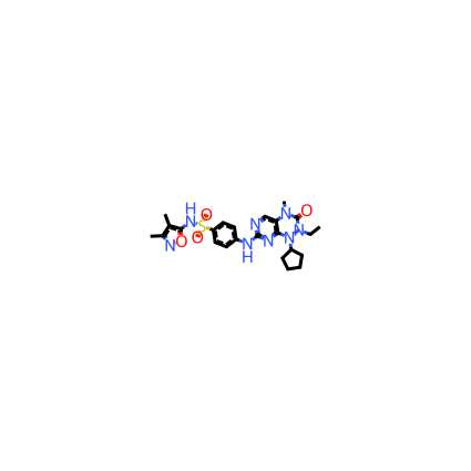 CCN1C(=O)N(C)c2cnc(Nc3ccc(S(=O)(=O)Nc4onc(C)c4C)cc3)nc2N1C1CCCC1